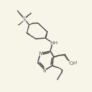 CCc1ncnc(NC2CCC([Si](C)(C)C)CC2)c1CO